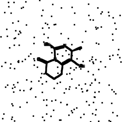 C[C@@H]1N=C(C(C)(C)C)N2C(=O)CCCC2=C1C(C)(C)C